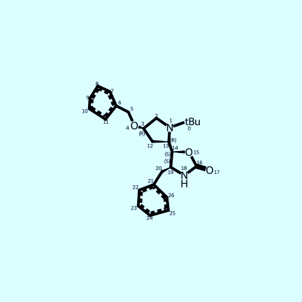 CC(C)(C)N1C[C@H](OCc2ccccc2)C[C@@H]1[C@H]1OC(=O)N[C@H]1Cc1ccccc1